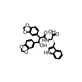 O=C(N[C@@H](Cc1c[nH]c2ccccc12)C(=O)O)C(c1ccc2c(c1)OCO2)C(O)c1ccc2c(c1)OCO2